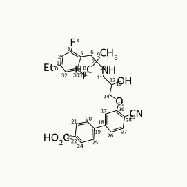 CCc1cc(F)c(CC(C)(C)NCC(O)COc2cc(-c3ccc(C(=O)O)cc3)ccc2C#N)c(F)c1